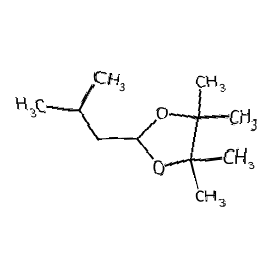 CC(C)CC1OC(C)(C)C(C)(C)O1